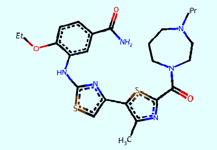 CCOc1ccc(C(N)=O)cc1Nc1nc(-c2sc(C(=O)N3CCCN(C(C)C)CC3)nc2C)cs1